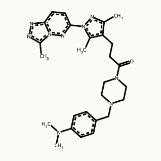 Cc1nn(-c2ccc3nnc(C)n3n2)c(C)c1CCC(=O)N1CCN(Cc2ccc(N(C)C)cc2)CC1